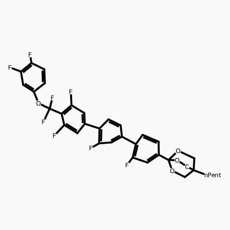 CCCCCC12COC(c3ccc(-c4ccc(-c5cc(F)c(C(F)(F)Oc6ccc(F)c(F)c6)c(F)c5)c(F)c4)c(F)c3)(OC1)OC2